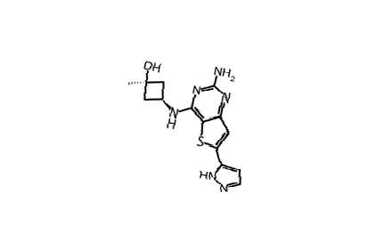 C[C@]1(O)C[C@@H](Nc2nc(N)nc3cc(-c4ccn[nH]4)sc23)C1